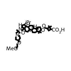 COCCOC1CCN(CC(C)(C)NC(=O)C23CC[C@@H](C(C)C)[C@@H]2C2CC[C@@H]4C5(C)CCC(OC(=O)C6CC(C(=O)O)C6(C)C)C(C)(C)C5CC[C@@]4(C)[C@]2(C)CC3)CC1